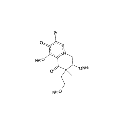 COCCC1(C)C(=O)c2c(OC)c(=O)c(Br)cn2CC1OC